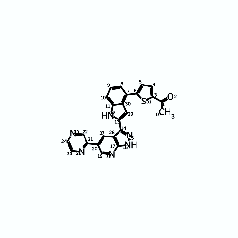 CC(=O)c1ccc(-c2cccc3[nH]c(-c4n[nH]c5ncc(-c6cnccn6)cc45)cc23)s1